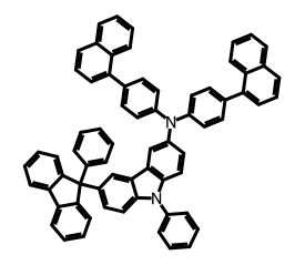 c1ccc(-n2c3ccc(N(c4ccc(-c5cccc6ccccc56)cc4)c4ccc(-c5cccc6ccccc56)cc4)cc3c3cc(C4(c5ccccc5)c5ccccc5-c5ccccc54)ccc32)cc1